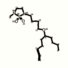 C=C=CCCC(CCCC)OCCCCN1CCN(C)S1(=O)=O